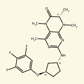 Cc1nc(N[C@@H]2CC[C@@H](Oc3cc(F)c(F)c(F)c3)C2)nc2c1N(C)C(=O)[C@H](C)N2C